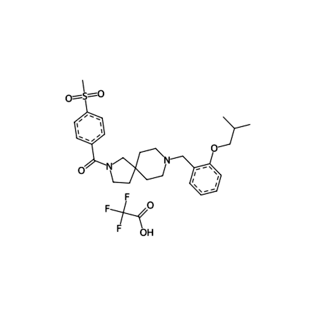 CC(C)COc1ccccc1CN1CCC2(CC1)CCN(C(=O)c1ccc(S(C)(=O)=O)cc1)C2.O=C(O)C(F)(F)F